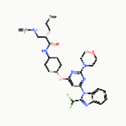 CSCC[C@@H](CNC(=O)O)C(=O)N[C@H]1CC[C@H](Oc2cc(-n3c(C(F)F)nc4ccccc43)nc(N3CCOCC3)n2)CC1